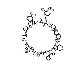 CCC[C@H]1C(=O)N[C@@H]([C@@H](C)CC)C(=O)N(C)CC(=O)N(C)CC(=O)N(C)[C@@H](Cc2ccc(C(F)(F)F)cc2)C(=O)N(C)CC(=O)N[C@@H](CCc2ccc(C(F)(F)F)c(Cl)c2)C(=O)N2CCC[C@H]2C(=O)NC2(CCCC2)C(=O)N(C)[C@@H](C2CCCCC2)C(=O)N(C)[C@H](C(=O)N2CCCC2)CC(=O)N1C